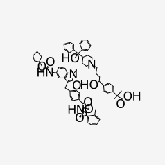 CC(C)(C(=O)O)c1ccc(C(O)CCCN2CCC(C(O)(c3ccccc3)c3ccccc3)CC2)cc1.COc1cc(C(=O)NS(=O)(=O)c2ccccc2C)ccc1Cc1cn(C)c2ccc(NC(=O)OC3CCCC3)cc12